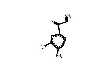 C=CC(=S)c1ccc(N)c([N+](=O)[O-])c1